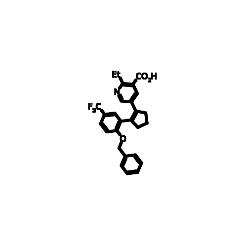 CCc1ncc(C2=C(c3cc(C(F)(F)F)ccc3OCc3ccccc3)CCC2)cc1C(=O)O